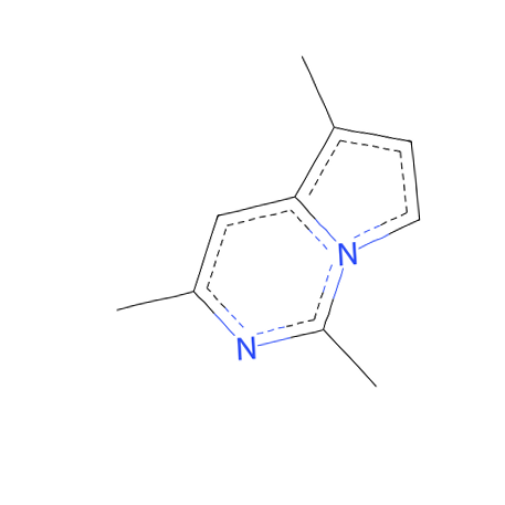 Cc1cc2c(C)ccn2c(C)n1